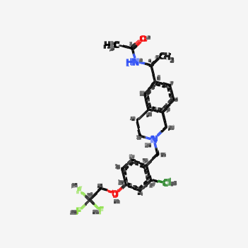 CC(=O)NC(C)c1ccc2c(c1)CCN(Cc1ccc(OCC(F)(F)F)cc1Cl)C2